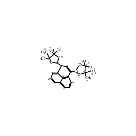 CC1(C)OB(C2=CC(B3OC(C)(C)C(C)(C)O3)c3cccc4cccc2c34)OC1(C)C